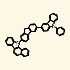 c1ccc(-n2c3ccccc3c3cc(-c4ccc5c(c4)-c4ccc(-n6c7ccccc7c7ccc8ccccc8c76)cc4C5)ccc32)cc1